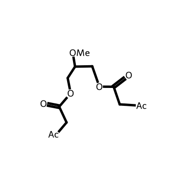 COC(COC(=O)CC(C)=O)COC(=O)CC(C)=O